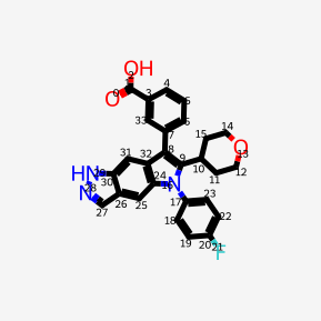 O=C(O)c1cccc(-c2c(C3CCOCC3)n(-c3ccc(F)cc3)c3cc4cn[nH]c4cc23)c1